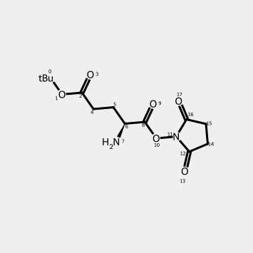 CC(C)(C)OC(=O)CC[C@H](N)C(=O)ON1C(=O)CCC1=O